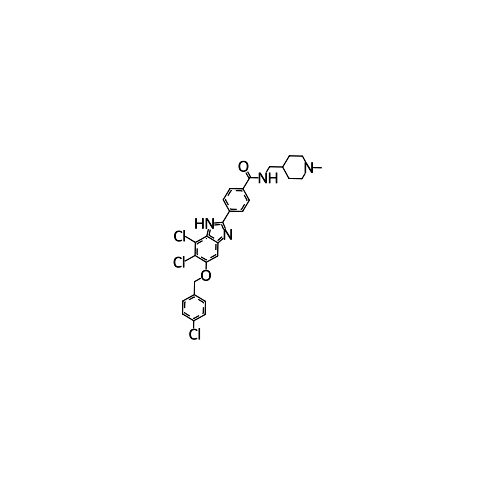 CN1CCC(CNC(=O)c2ccc(-c3nc4cc(OCc5ccc(Cl)cc5)c(Cl)c(Cl)c4[nH]3)cc2)CC1